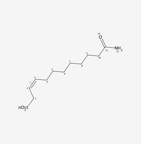 CCCCCCCCC/C=C\CCCCCCCC(N)=O